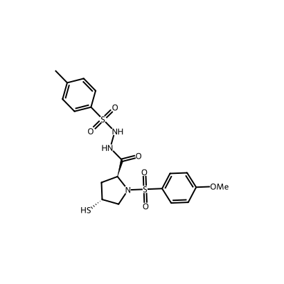 COc1ccc(S(=O)(=O)N2C[C@H](S)C[C@H]2C(=O)NNS(=O)(=O)c2ccc(C)cc2)cc1